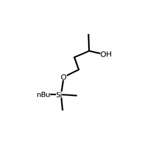 CCCC[Si](C)(C)OCCC(C)O